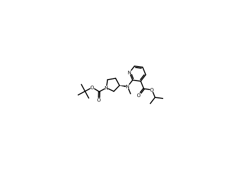 CC(C)OC(=O)c1cccnc1N(C)[C@@H]1CCN(C(=O)OC(C)(C)C)C1